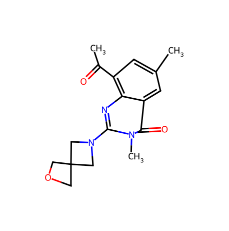 CC(=O)c1cc(C)cc2c(=O)n(C)c(N3CC4(COC4)C3)nc12